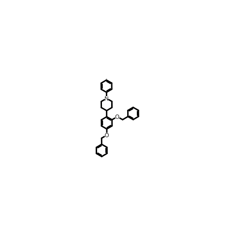 [c]1ccc(N2CCC(c3ccc(OCc4ccccc4)cc3OCc3ccccc3)CC2)cc1